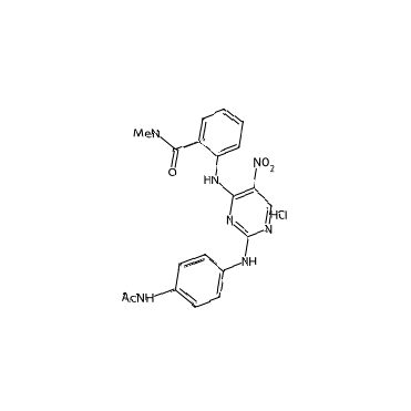 CNC(=O)c1ccccc1Nc1nc(Nc2ccc(NC(C)=O)cc2)ncc1[N+](=O)[O-].Cl